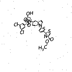 CCOC(=O)c1csc(-c2ccc(-n3ccc4cc(N(CC(=O)O)S(=O)(=O)c5cc(Cl)cc(Cl)c5)ccc43)s2)n1